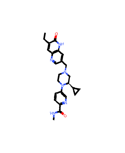 CCc1cc2ncc(CN3CCN(c4ccc(C(=O)NC)nc4)[C@H](C4CC4)C3)cc2[nH]c1=O